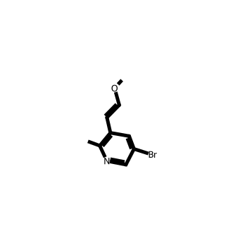 COC=Cc1cc(Br)cnc1C